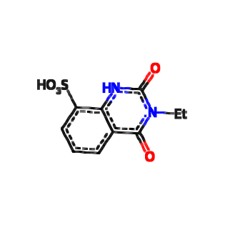 CCn1c(=O)[nH]c2c(S(=O)(=O)O)cccc2c1=O